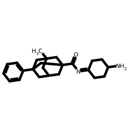 CC12CC3CC(C(=O)N=C4CCC(N)CC4)(C1)CC(c1ccccc1)(C3)C2